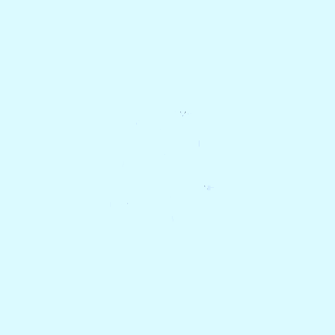 COC(=O)c1c(I)c(N)c(I)c(C(=O)O)c1I